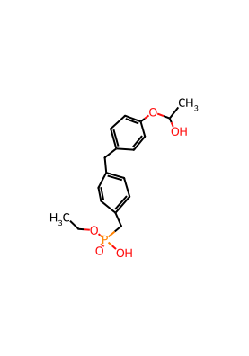 CCOP(=O)(O)Cc1ccc(Cc2ccc(OC(C)O)cc2)cc1